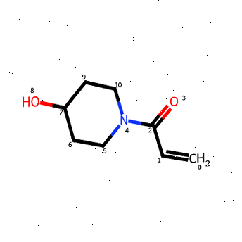 C=CC(=O)N1CCC(O)CC1